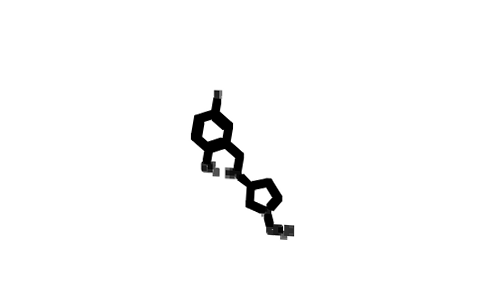 O=C(O)N1CC[C@H](NCc2cc(F)ccc2C(F)(F)F)C1